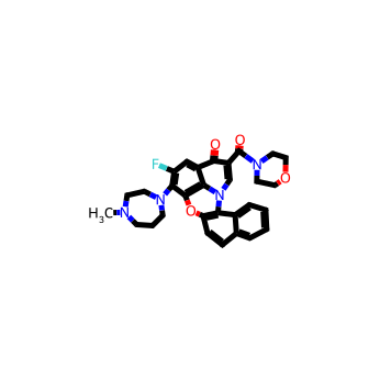 CN1CCCN(c2c(F)cc3c(=O)c(C(=O)N4CCOCC4)cn4c3c2Oc2ccc3ccccc3c2-4)CC1